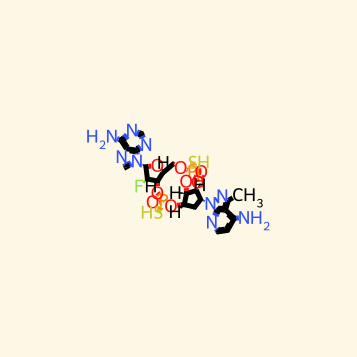 Cc1nn([C@@H]2C[C@@H]3OP(=O)(S)O[C@H]4[C@@H](F)[C@H](n5cnc6c(N)ncnc65)O[C@@H]4COP(=O)(S)O[C@@H]2[C@@H]3O)c2nccc(N)c12